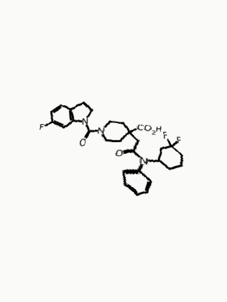 O=C(N1CCC(CC(=O)N(c2ccccc2)C2CCCC(F)(F)C2)(C(=O)O)CC1)N1CCc2ccc(F)cc21